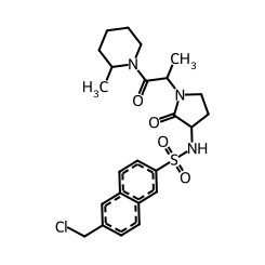 CC1CCCCN1C(=O)C(C)N1CCC(NS(=O)(=O)c2ccc3cc(CCl)ccc3c2)C1=O